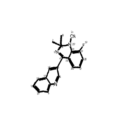 CC1(C)N=C(c2cnc3ccccc3c2)c2cccc(F)c2N1C#N